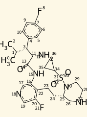 CC(C)[C@H](c1ccc(F)cc1)[C@H](N)C(=O)Nc1cncc(F)c1CC[C@H]1CNCCN1S(=O)(=O)C1CC1